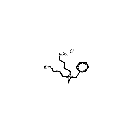 CCCCCCCCCCCCCC[N+](C)(CCCCCCCCCCCCC)Cc1ccccc1.[Cl-]